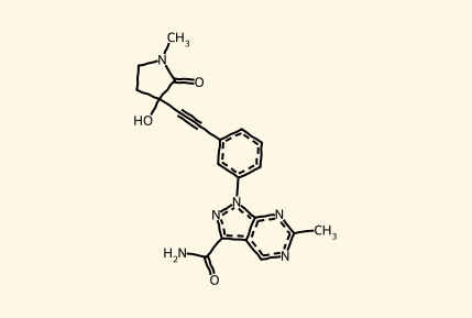 Cc1ncc2c(C(N)=O)nn(-c3cccc(C#CC4(O)CCN(C)C4=O)c3)c2n1